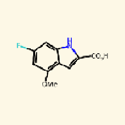 COc1cc(F)cc2[nH]c(C(=O)O)cc12